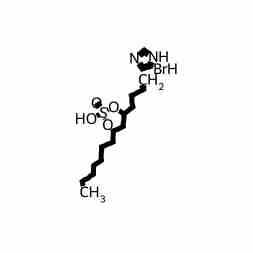 Br.C=CCCC(CCCCCCCCC)OS(=O)(=O)O.c1c[nH]cn1